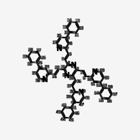 C(=Cc1nc(C=Cc2cc(-c3ccccc3)ccn2)c(C=Cc2cc(-c3ccccc3)ccn2)nc1C=Cc1cc(-c2ccccc2)ccn1)c1cc(-c2ccccc2)ccn1